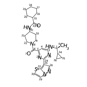 C[C@H](Nc1cc(C(=O)N2CCC(NC(=O)C3CCCCC3)CC2)nc(-c2cnn3ccsc23)n1)C1CC1